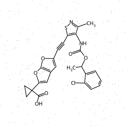 Cc1nsc(C#Cc2cc3cc(C4(C(=O)O)CC4)oc3o2)c1NC(=O)OC(C)c1ccccc1Cl